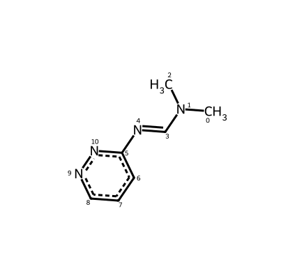 CN(C)/C=N/c1cccnn1